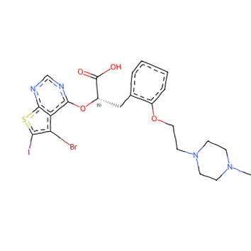 CN1CCN(CCOc2ccccc2C[C@H](Oc2ncnc3sc(I)c(Br)c23)C(=O)O)CC1